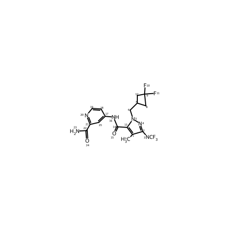 Cc1c(NC(F)(F)F)nn(CC2CC(F)(F)C2)c1C(=O)Nc1ccnc(C(N)=O)c1